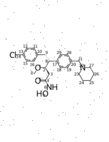 CO[C@H](CC(=O)NO)[C@H](Cc1ccc(Cl)cc1)c1ccc(CN2CCCCC2)cc1